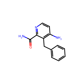 NC(=O)c1nccc(N)c1Cc1ccccc1